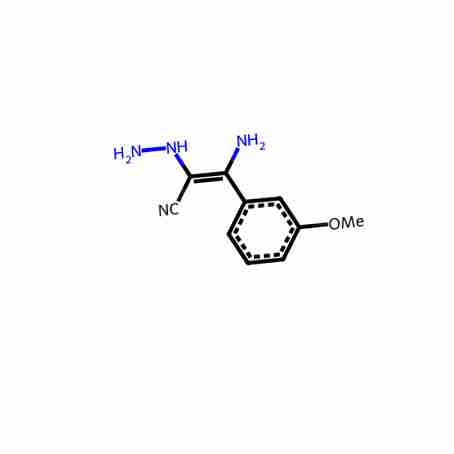 COc1cccc(/C(N)=C(\C#N)NN)c1